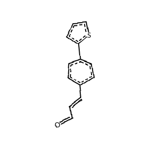 O=CC=Cc1ccc(-c2cccs2)cc1